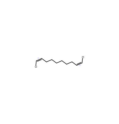 Cl/C=C\CCCCCC/C=C\Cl